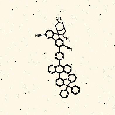 CC1CC2CC(C)C3(c4ccc(C#N)cc4-c4cc(-c5ccc(-c6c7ccccc7c(-c7cccc8c7-c7ccccc7C8(c7ccccc7)c7ccccc7)c7ccccc67)cc5)c(C#N)cc43)C(C1)C2